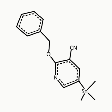 [CH3][Sn]([CH3])([CH3])[c]1cnc(OCc2ccccc2)c(C#N)c1